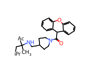 CC(=O)C(C)(CC(C)C)NCC1CCN(C(=O)C2c3ccccc3Oc3ccccc32)CC1